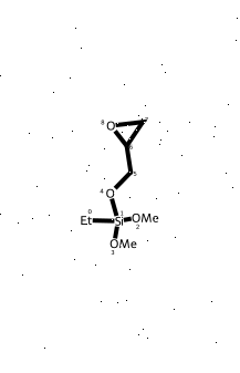 CC[Si](OC)(OC)OCC1CO1